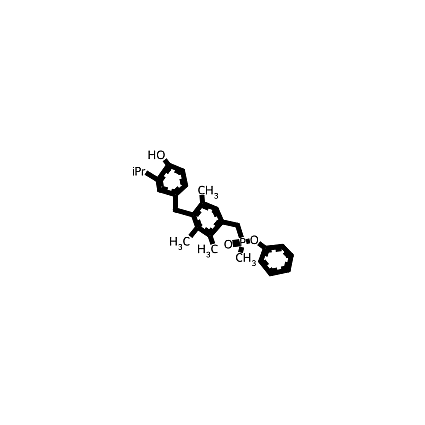 Cc1cc(CP(C)(=O)Oc2ccccc2)c(C)c(C)c1Cc1ccc(O)c(C(C)C)c1